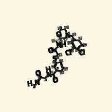 NC(=O)CNC(=O)C1C=C(SCC(=O)NC[C@H]2CN(CC3C=C(Cl)C(Cl)=CC3)CCO2)C=CC1